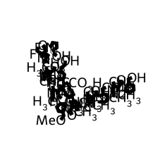 COCC1CCCCN1C(=O)c1c(C)nn(C)c1C.Cc1nn(C)c(C)c1C(=O)N1CCCCC1C(C)C(=O)O.Cc1nn(C)c(C)c1C(=O)N1CCCCC1CC(=O)O.Cc1nn(C)c(C)c1C(=O)N1CCCCC1CCO.Cc1nn(C)c(C)c1C(=O)N1CCCCC1CO.Cn1cc(C(=O)N2CCC[C@H]2CO)c(C(F)F)n1